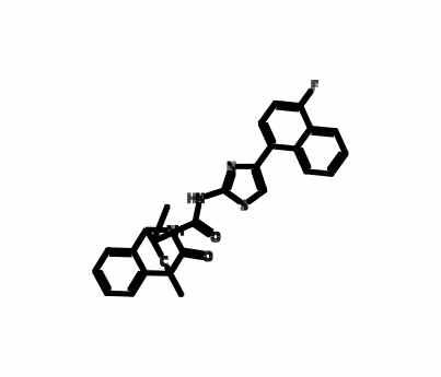 CC12CC(C)(C(=O)Nc3nc(-c4ccc(F)c5ccccc45)cs3)C(NC1=O)c1ccccc12